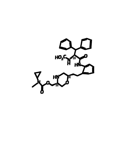 CN(C(=O)OC[C@@H]1CO[C@H](CCc2ccccc2NC(=O)[C@@H](NC(=O)O)C(c2ccccc2)c2ccccc2)CN1)C1CC1